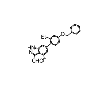 CCc1cc(OCc2ccccc2)ccc1-c1cc(F)c2c(C=O)n[nH]c2c1